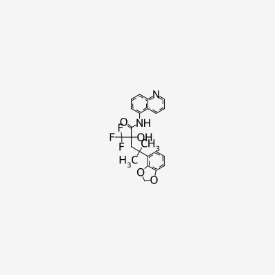 CC(C)(CC(O)(C(=O)Nc1cccc2ncccc12)C(F)(F)F)c1cccc2c1OCO2